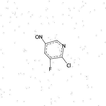 O=Nc1cnc(Cl)c(F)c1